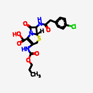 CCCOC(=O)NC1=C(C(=O)O)N2C(=O)C(NC(=O)Cc3ccc(Cl)cc3)[C@@H]2SC1